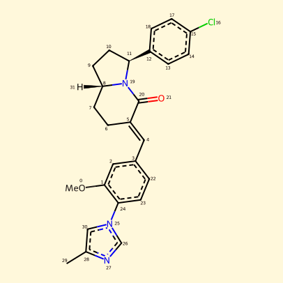 COc1cc(/C=C2\CC[C@@H]3CC[C@@H](c4ccc(Cl)cc4)N3C2=O)ccc1-n1cnc(C)c1